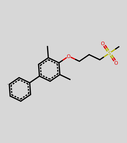 Cc1cc(-c2c[c]ccc2)cc(C)c1OCCCS(C)(=O)=O